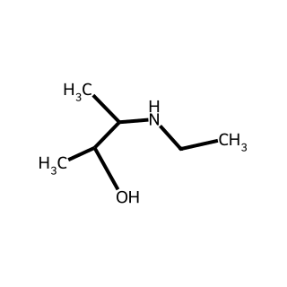 CCNC(C)C(C)O